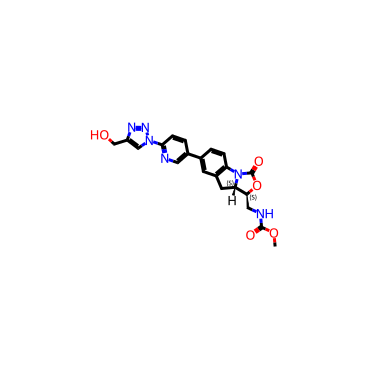 COC(=O)NC[C@@H]1OC(=O)N2c3ccc(-c4ccc(-n5cc(CO)nn5)nc4)cc3C[C@@H]12